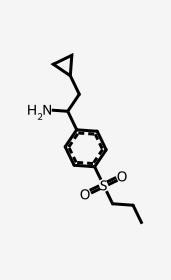 CCCS(=O)(=O)c1ccc(C(N)CC2CC2)cc1